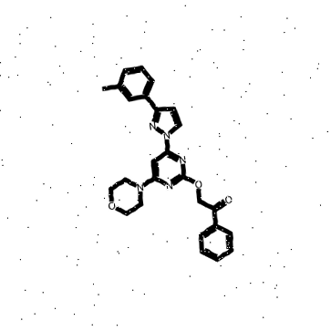 Cc1cccc(-c2ccn(-c3cc(N4CCOCC4)nc(OCC(=O)c4ccccc4)n3)n2)c1